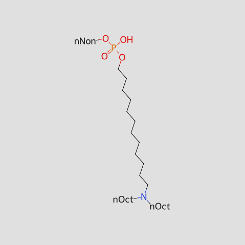 CCCCCCCCCOP(=O)(O)OCCCCCCCCCCCCN(CCCCCCCC)CCCCCCCC